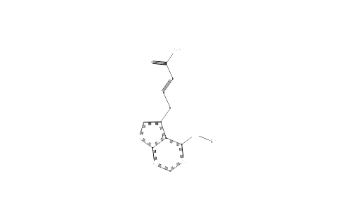 CNC(=O)C=CCc1c[nH]c2ncnc(OC(C)C)c12